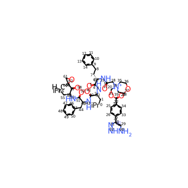 CC(C)C[C@H](NC(=O)[C@H](CCc1ccccc1)NC(=O)C[N+]1(COC(=O)c2ccc(/C(=C/N)N=N)cc2)CCOCC1)C(=O)N[C@@H](Cc1ccccc1)C(=O)N[C@@H](CC(C)C)C(=O)[C@@]1(C)CO1